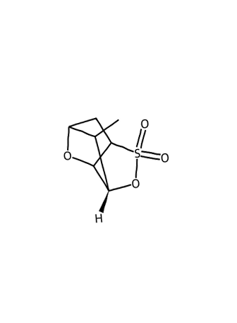 CC1C2CC3C(O2)[C@H]1OS3(=O)=O